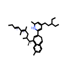 CC/C=C/C(C)=C(\C)CC(C)[C@H](C)C1=c2cc(C)ccc2=CCC(C2=CC(CCC(CC)CC)=CC(C)N2)=C1